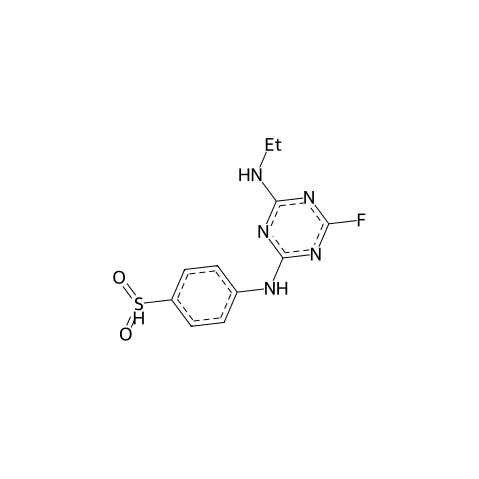 CCNc1nc(F)nc(Nc2ccc([SH](=O)=O)cc2)n1